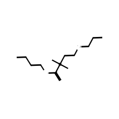 C=C(OCCCC)C(C)(C)CCNCCC